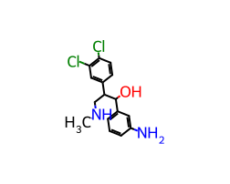 CNCC(c1ccc(Cl)c(Cl)c1)C(O)c1cccc(N)c1